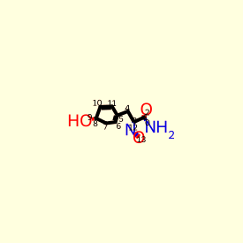 NC(=O)C(CC1=CCC(O)C=C1)N=O